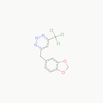 ClC(Cl)(Cl)c1cc(Cc2ccc3c(c2)OCO3)nnn1